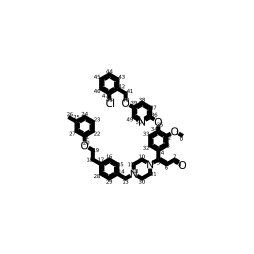 COc1cc(/C(=C\C=O)N2CCN(Cc3ccc(CCOc4cccc(C)c4)cc3)CC2)ccc1Oc1ccc(OCc2ccccc2Cl)cn1